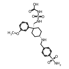 COc1cccc([C@]2(CNS(=O)(=O)NC(=O)O)CC[C@@H](NCc3ccc(S(N)(=O)=O)cc3)CC2)c1